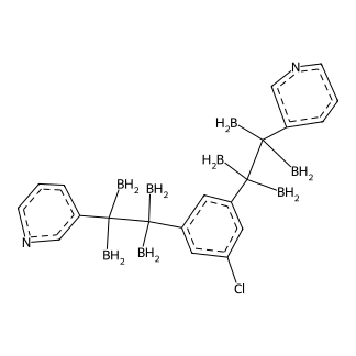 BC(B)(c1cccnc1)C(B)(B)c1cc(Cl)cc(C(B)(B)C(B)(B)c2cccnc2)c1